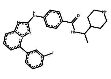 CC(NC(=O)c1ccc(Nc2nc3cccc(-c4cccc(F)c4)n3n2)cc1)C1CCNCC1